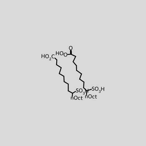 CCCCCCCCC(CCCCCCCCC(=O)O)S(=O)(=O)O.CCCCCCCCC(CCCCCCCCC(=O)OO)S(=O)(=O)O